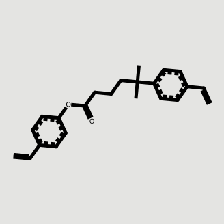 C=Cc1ccc(OC(=O)CCCC(C)(C)c2ccc(C=C)cc2)cc1